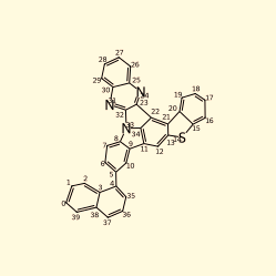 c1ccc2c(-c3ccc4c(c3)c3cc5sc6ccccc6c5c5c6nc7ccccc7nc6n4c35)cccc2c1